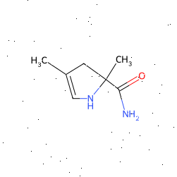 CC1=CNC(C)(C(N)=O)C1